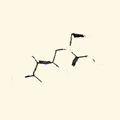 COC(=O)N(C=O)C/C(C)=C(\C)C(C)O